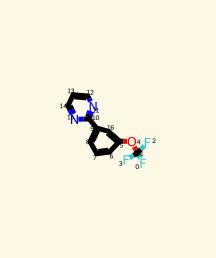 FC(F)(F)Oc1cccc(-c2ncccn2)c1